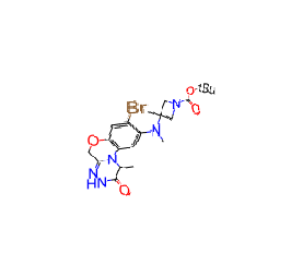 CC1C(=O)NN=C2COc3cc(Br)c(N(C)C4(C)CN(C(=O)OC(C)(C)C)C4)cc3N21